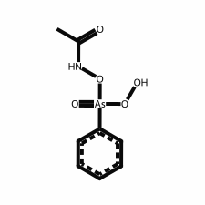 CC(=O)NO[As](=O)(OO)c1ccccc1